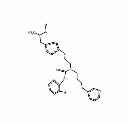 CCOC(Cc1ccc(OCCN(CCCSc2ccccc2)C(=O)Nc2ccccc2F)cc1)C(=O)O